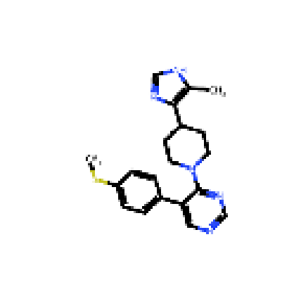 CSc1ccc(-c2cncnc2N2CCC(c3nc[nH]c3C)CC2)cc1